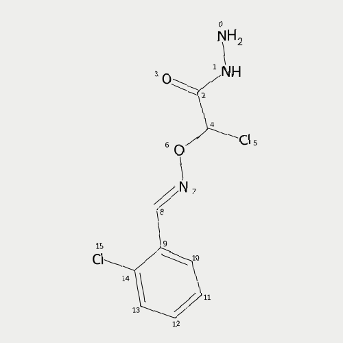 NNC(=O)C(Cl)ON=Cc1ccccc1Cl